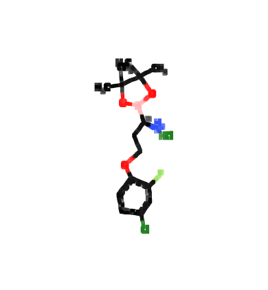 CC1(C)OB([C@@H](N)CCOc2ccc(Cl)cc2F)OC1(C)C.Cl